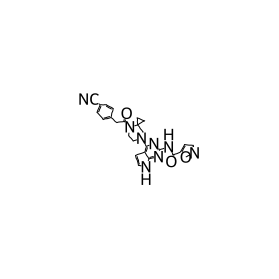 N#Cc1ccc(CC(=O)N2CCN(c3nc(NC(=O)c4ccno4)nc4[nH]ccc34)CC23CC3)cc1